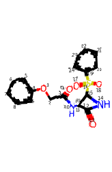 O=C(COc1ccccc1)N[C@@H]1C(=O)NC1S(=O)(=O)c1ccccc1